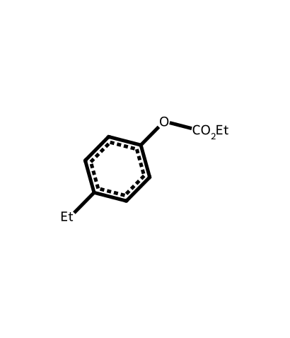 C[CH]OC(=O)Oc1ccc(CC)cc1